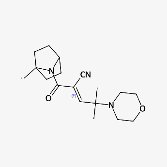 [CH2]C12CCC(CC1)N2C(=O)/C(C#N)=C/C(C)(C)N1CCOCC1